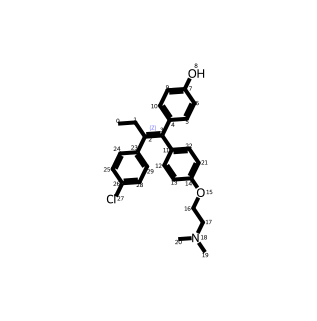 CC/C(=C(\c1ccc(O)cc1)c1ccc(OCCN(C)C)cc1)c1ccc(Cl)cc1